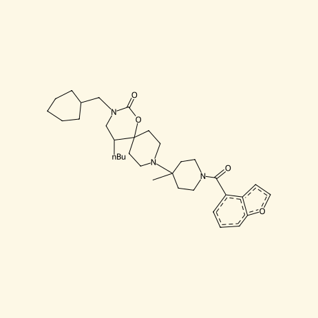 CCCCC1CN(CC2CCCCC2)C(=O)OC12CCN(C1(C)CCN(C(=O)c3cccc4occc34)CC1)CC2